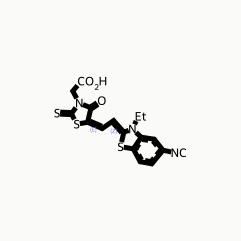 [C-]#[N+]c1ccc2c(c1)N(CC)/C(=C/C=C1/SC(=S)N(CC(=O)O)C1=O)S2